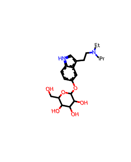 CCN(CCc1c[nH]c2ccc(OC3OC(CO)C(O)C(O)C3O)cc12)C(C)C